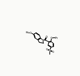 COc1ccc2c(c1)CCN2C(=O)c1cc(S(C)(=O)=O)ccc1OC(C)C